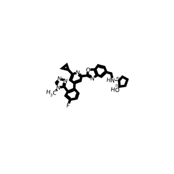 Cn1cnnc1-c1cc(F)ccc1-c1cc(-c2nc3cc(CN[C@@H]4CCC[C@@H]4O)ccc3o2)nc(C2CC2)c1